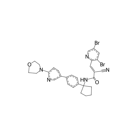 N#CC(=Cc1ncc(Br)cc1Br)C(=O)NC1(c2ccc(-c3ccc(N4CCOCC4)nc3)cc2)CCCC1